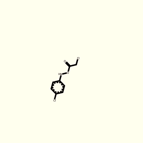 O=C(CCl)ONc1ccc(Cl)cc1